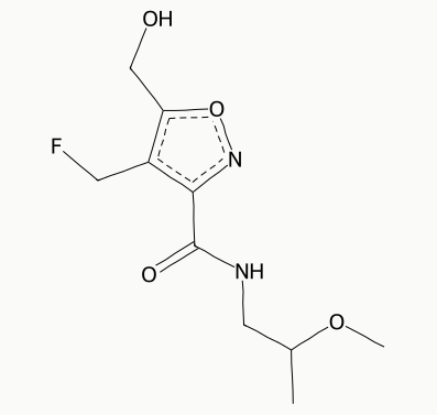 COC(C)CNC(=O)c1noc(CO)c1CF